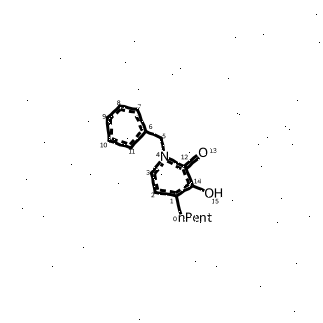 CCCCCc1ccn(Cc2ccccc2)c(=O)c1O